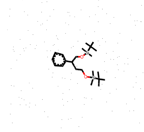 CC(C)(C)[Si](C)(C)OCCC(CO[Si](C)(C)C(C)(C)C)c1ccccc1